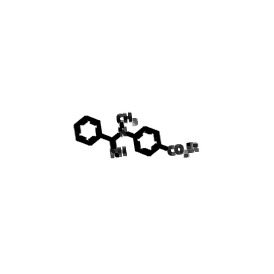 CCOC(=O)c1ccc(N(C)C(=N)c2ccccc2)cc1